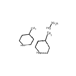 CC1CCNCC1.CC1CCNCC1.O=S(=O)(O)O